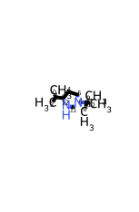 CC(C)C1CCN(C(C)(C)C)CN1